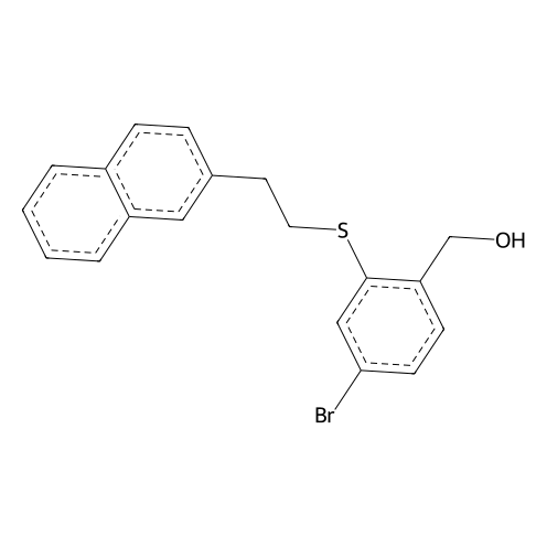 OCc1ccc(Br)cc1SCCc1ccc2ccccc2c1